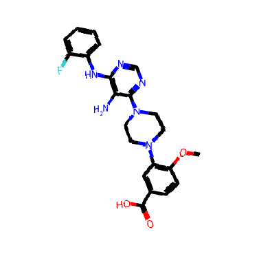 COc1ccc(C(=O)O)cc1N1CCN(c2ncnc(Nc3ccccc3F)c2N)CC1